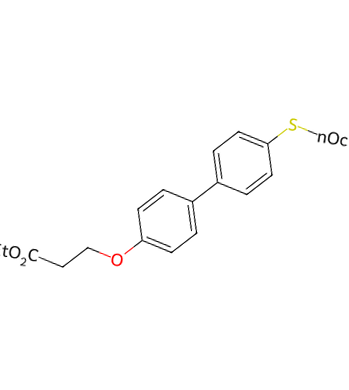 CCCCCCCCSc1ccc(-c2ccc(OCCC(=O)OCC)cc2)cc1